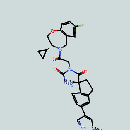 CN/C=C(\C=N)c1ccc2c(c1)CC[C@@]2([SiH3])C(=O)N(CC(=O)N1Cc2cc(F)ccc2OC[C@H]1C1CC1)C(N)=O